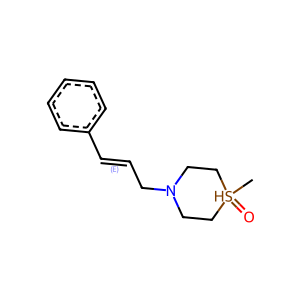 C[SH]1(=O)CCN(C/C=C/c2ccccc2)CC1